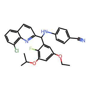 CCOc1cc(OC(C)C)c(F)c(C(Nc2ccc(C#N)cc2)c2ccc3cccc(Cl)c3n2)c1